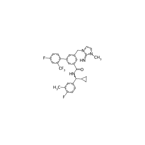 Cc1cc([C@@H](NC(=O)c2cc(Cn3ccn(C)c3=N)cc(-c3ccc(F)cc3C(F)(F)F)c2)C2CC2)ccc1F